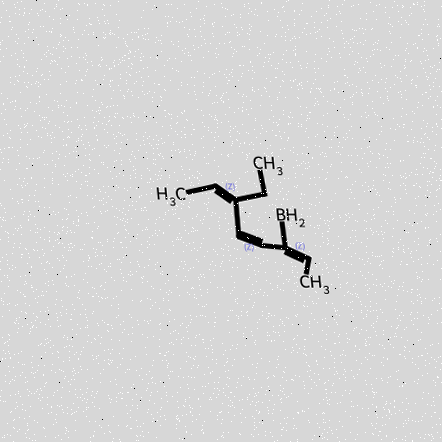 BC(/C=C\C(=C/C)CC)=C/C